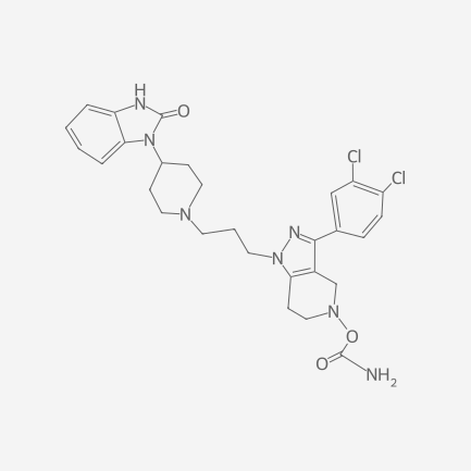 NC(=O)ON1CCc2c(c(-c3ccc(Cl)c(Cl)c3)nn2CCCN2CCC(n3c(=O)[nH]c4ccccc43)CC2)C1